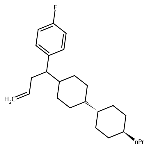 C=CCC(c1ccc(F)cc1)C1CCC([C@H]2CC[C@H](CCC)CC2)CC1